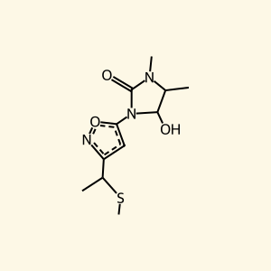 CSC(C)c1cc(N2C(=O)N(C)C(C)C2O)on1